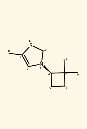 CC1=CN([C@@H]2CCC2(C)C)CS1